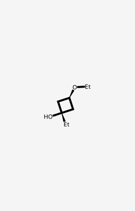 CCO[C@H]1C[C@@](O)(CC)C1